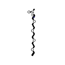 C=COCCOCCOCCO/C=C/[SiH](C)[O]